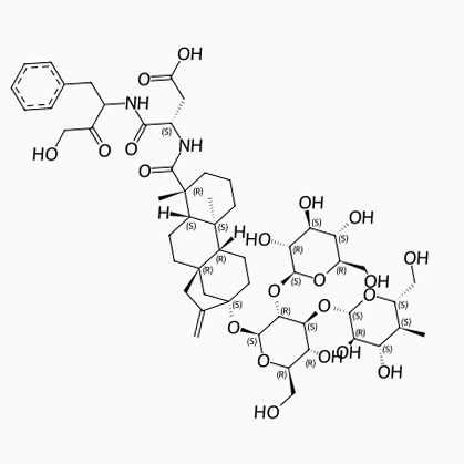 C=C1C[C@@]23CC[C@H]4[C@@](C)(CCC[C@@]4(C)C(=O)N[C@@H](CC(=O)O)C(=O)NC(Cc4ccccc4)C(=O)CO)[C@@H]2CC[C@]1(O[C@@H]1O[C@H](CO)[C@@H](O)[C@H](O[C@@H]2O[C@H](CO)[C@@H](C)[C@H](O)[C@H]2O)[C@H]1O[C@@H]1O[C@H](CO)[C@@H](O)[C@H](O)[C@H]1O)C3